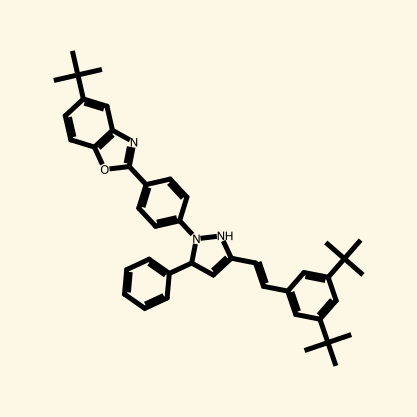 CC(C)(C)c1cc(C=CC2=CC(c3ccccc3)N(c3ccc(-c4nc5cc(C(C)(C)C)ccc5o4)cc3)N2)cc(C(C)(C)C)c1